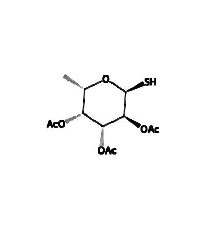 CC(=O)O[C@@H]1[C@H](OC(C)=O)[C@H](C)O[C@@H](S)[C@H]1OC(C)=O